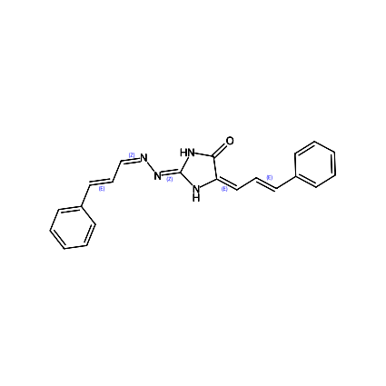 O=C1N\C(=N/N=C\C=C\c2ccccc2)N/C1=C/C=C/c1ccccc1